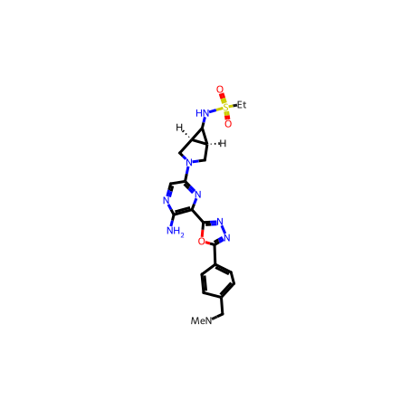 CCS(=O)(=O)NC1[C@H]2CN(c3cnc(N)c(-c4nnc(-c5ccc(CNC)cc5)o4)n3)C[C@@H]12